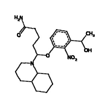 CC(O)c1cccc(OC(CCCC(N)=O)N2CCCC3CCCCC32)c1[N+](=O)[O-]